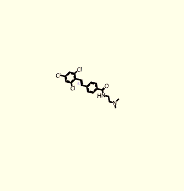 CN(C)CCNC(=O)c1ccc(/C=C/c2c(Cl)cc(Cl)cc2Cl)cc1